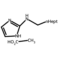 CC(=O)O.CCCCCCCCNc1ncc[nH]1